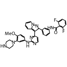 COc1ccc(Nc2nccc(-c3c(-c4cccc(NC(=O)c5c(F)cccc5F)c4)nn4ccccc34)n2)cc1N1CCNCC1